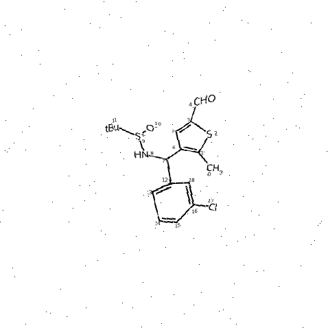 Cc1sc(C=O)cc1C(N[S+]([O-])C(C)(C)C)c1cccc(Cl)c1